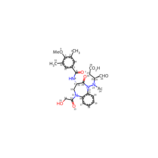 COc1c(C)cc(C(=O)N[C@H]2CN(C(=O)CO)c3ccccc3N(N(C(C)=O)[C@H](C=O)CC(=O)O)C2=O)cc1C